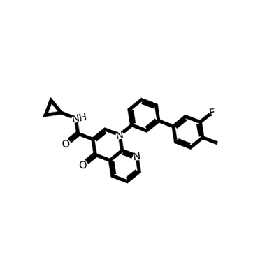 Cc1ccc(-c2cccc(-n3cc(C(=O)NC4CC4)c(=O)c4cccnc43)c2)cc1F